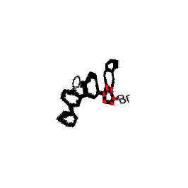 Brc1ccc(-c2ccc3oc4ccc(-c5ccccc5)cc4c3c2)c2c1C1c3ccccc3C2c2ccccc21